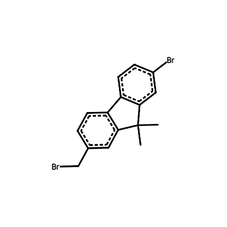 CC1(C)c2cc(Br)ccc2-c2ccc(CBr)cc21